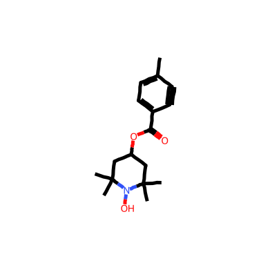 Cc1c#cc(C(=O)OC2CC(C)(C)N(O)C(C)(C)C2)cc1